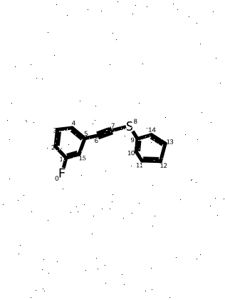 Fc1cccc(C#CSc2ccccc2)c1